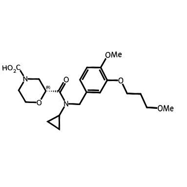 COCCCOc1cc(CN(C(=O)[C@H]2CN(C(=O)O)CCO2)C2CC2)ccc1OC